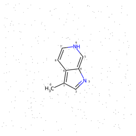 Cc1cnc2c[nH]ccc1-2